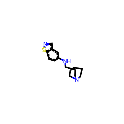 c1cc2sncc2cc1NCC1CN2CCC1CC2